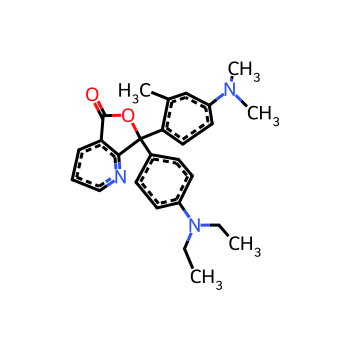 CCN(CC)c1ccc(C2(c3ccc(N(C)C)cc3C)OC(=O)c3cccnc32)cc1